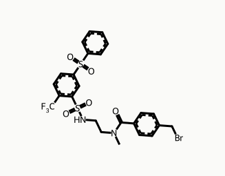 CN(CCNS(=O)(=O)c1cc(S(=O)(=O)c2ccccc2)ccc1C(F)(F)F)C(=O)c1ccc(CBr)cc1